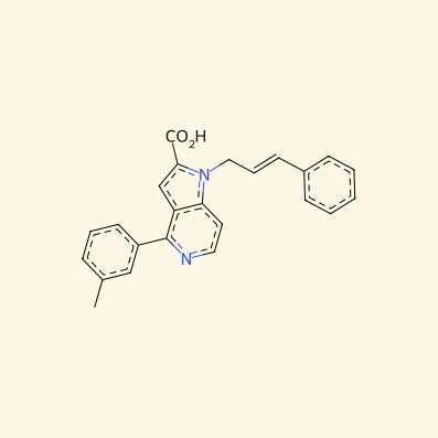 Cc1cccc(-c2nccc3c2cc(C(=O)O)n3C/C=C/c2ccccc2)c1